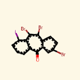 O=c1c2cc(Br)ccc2c(Br)c(Br)c2c(I)cccc12